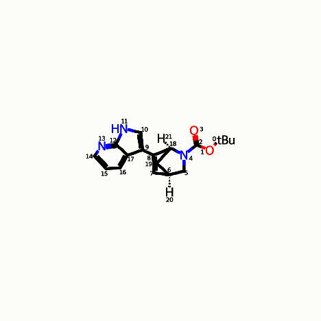 CC(C)(C)OC(=O)N1C[C@H]2C=C(c3c[nH]c4ncccc34)[C@@H]1C2